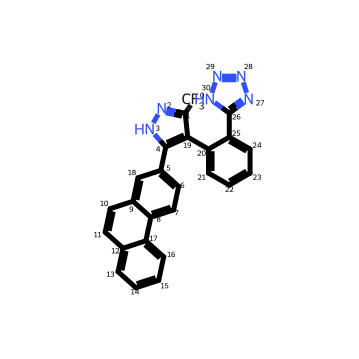 FC(F)(F)c1n[nH]c(-c2ccc3c(ccc4ccccc43)c2)c1-c1ccccc1-c1nnn[nH]1